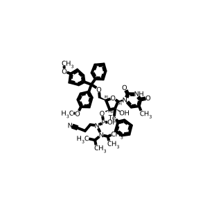 COc1ccc(C(OC[C@H]2O[C@@H](n3cc(C)c(=O)[nH]c3=O)[C@@](O)([Te]c3ccccc3)[C@@H]2OP(O)N(CCC#N)N(C(C)C)C(C)C)(c2ccccc2)c2ccc(OC)cc2)cc1